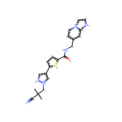 CC(C)(C#N)Cn1cc(-c2ccc(C(=O)NCc3ccn4ccnc4c3)s2)cn1